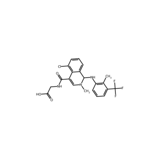 Cc1c(NC2c3cccc(Cl)c3C(C(=O)NCC(=O)O)=CN2C)cccc1C(F)(F)F